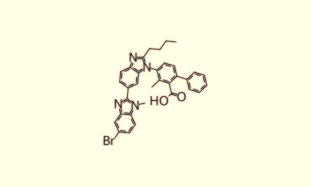 CCCCc1nc2ccc(-c3nc4cc(Br)ccc4n3C)cc2n1-c1ccc(-c2ccccc2)c(C(=O)O)c1C